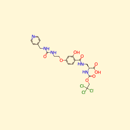 O=C(NCCOc1ccc(C(=O)NC[C@H](NC(=O)OCC(Cl)(Cl)Cl)C(=O)O)c(O)c1)NCc1ccncc1